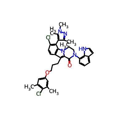 Cc1cc(OCCCc2c3n(c4c(-c5c(C)nn(C)c5C)c(Cl)ccc24)C(C)CN(c2cccc4cc[nH]c24)C3=O)cc(C)c1Cl